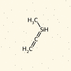 C=C=[SiH]C